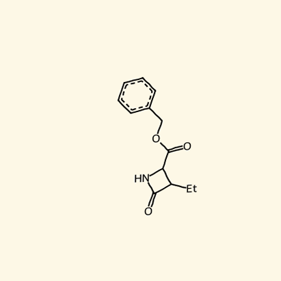 CCC1C(=O)NC1C(=O)OCc1ccccc1